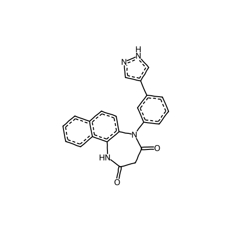 O=C1CC(=O)N(c2cccc(-c3cn[nH]c3)c2)c2ccc3ccccc3c2N1